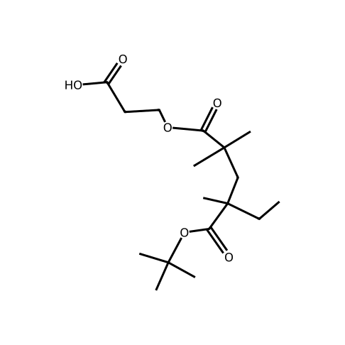 CCC(C)(CC(C)(C)C(=O)OCCC(=O)O)C(=O)OC(C)(C)C